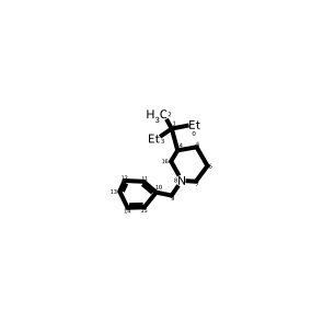 CCC(C)(CC)C1CCCN(Cc2ccccc2)C1